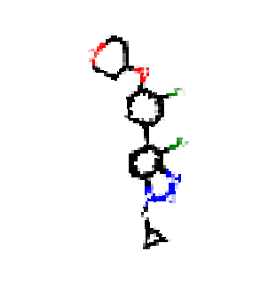 Clc1cc(-c2ccc3c(nnn3CC3CC3)c2Br)ccc1OC1CCOCC1